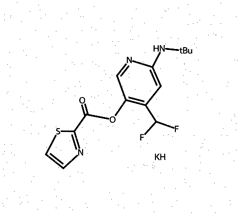 CC(C)(C)Nc1cc(C(F)F)c(OC(=O)c2nccs2)cn1.[KH]